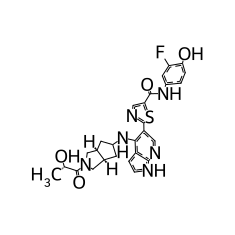 C[C@H](O)C(=O)N1C[C@H]2CC(Nc3c(-c4ncc(C(=O)Nc5ccc(O)c(F)c5)s4)cnc4[nH]ccc34)C[C@H]2C1